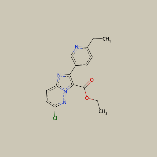 CCOC(=O)c1c(-c2ccc(CC)nc2)nc2ccc(Cl)nn12